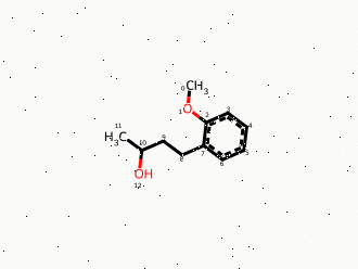 COc1ccccc1CCC(C)O